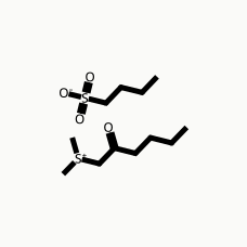 CCCCC(=O)C[S+](C)C.CCCCS(=O)(=O)[O-]